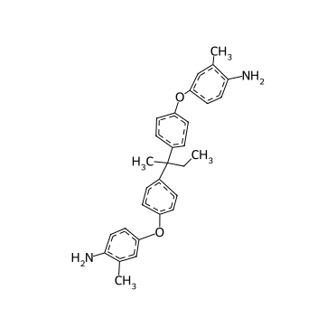 CCC(C)(c1ccc(Oc2ccc(N)c(C)c2)cc1)c1ccc(Oc2ccc(N)c(C)c2)cc1